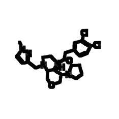 Cn1ccc(CN2CCN(C(=O)Cc3ccc(Cl)c(Cl)c3)[C@H]3C2COC[C@@H]3N2CCCC2)n1